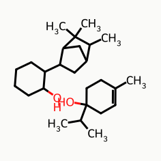 CC1=CCC(O)(C(C)C)CC1.CC1C2CC(C3CCCCC3O)C(C2)C1(C)C